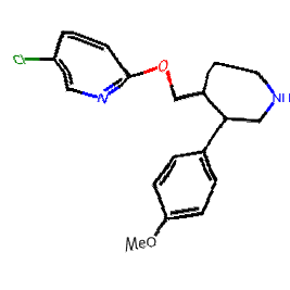 COc1ccc(C2CNCCC2COc2ccc(Cl)cn2)cc1